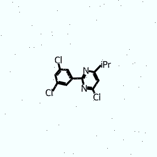 CC(C)c1cc(Cl)nc(-c2cc(Cl)cc(Cl)c2)n1